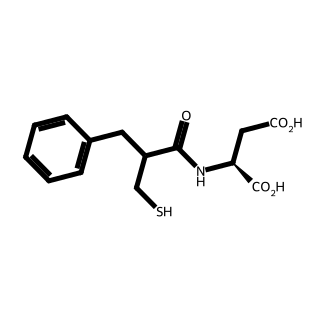 O=C(O)C[C@H](NC(=O)C(CS)Cc1ccccc1)C(=O)O